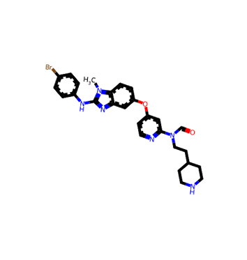 Cn1c(Nc2ccc(Br)cc2)nc2cc(Oc3ccnc(N(C=O)CCC4CCNCC4)c3)ccc21